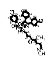 C=N/C=C\C=C(/C)C(=O)CCCN/C(=N/S(=O)(=O)c1ccc(Cl)cc1)N1CC(c2ccccc2)C(c2ccc(Cl)cc2)=N1